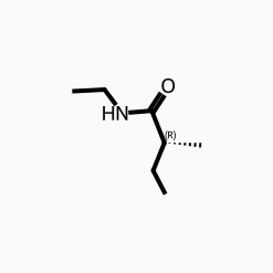 CCNC(=O)[C@H](C)CC